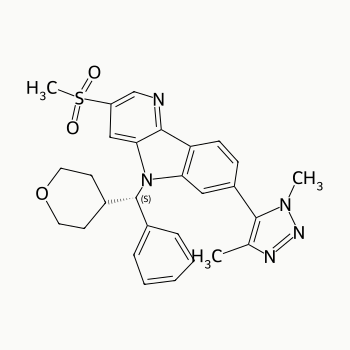 Cc1nnn(C)c1-c1ccc2c3ncc(S(C)(=O)=O)cc3n([C@H](c3ccccc3)C3CCOCC3)c2c1